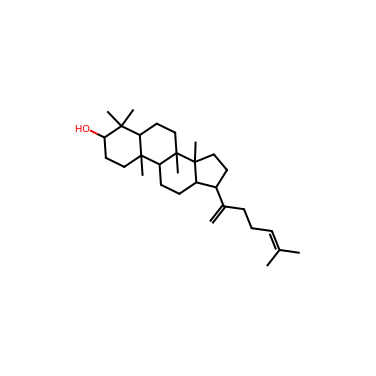 C=C(CCC=C(C)C)C1CCC2(C)C1CCC1C3(C)CCC(O)C(C)(C)C3CCC12C